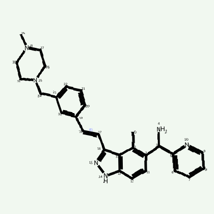 Cc1c(C(N)c2ccccn2)ccc2[nH]nc(/C=C/c3cccc(CN4CCN(C)CC4)c3)c12